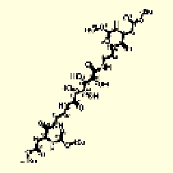 CC(C)(C)OC(=O)CC(NC(=O)OC(C)(C)C)C(=O)NCCNC(=O)[C@@H](O)[C@H](O)[C@H](O)[C@@H](O)C(=O)NCCNC(=O)C(CC(=O)OC(C)(C)C)NC(=O)OC(C)(C)C